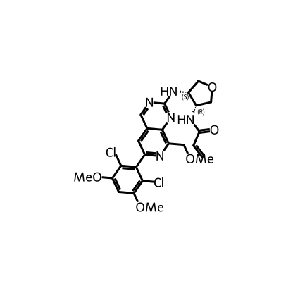 C=CC(=O)N[C@H]1COC[C@H]1Nc1ncc2cc(-c3c(Cl)c(OC)cc(OC)c3Cl)nc(COC)c2n1